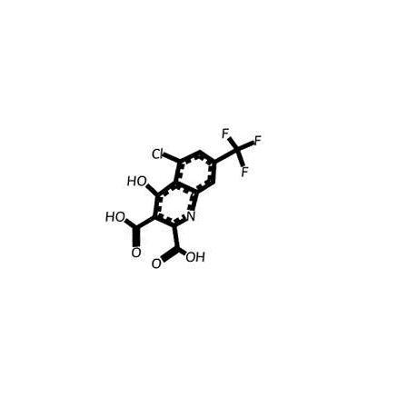 O=C(O)c1nc2cc(C(F)(F)F)cc(Cl)c2c(O)c1C(=O)O